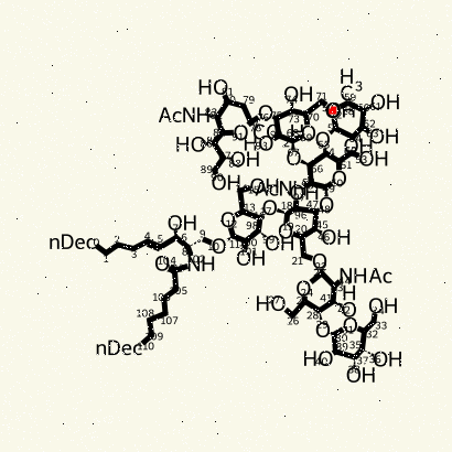 CCCCCCCCCCCCC/C=C/[C@@H](O)[C@H](CO[C@@H]1OC(CO)[C@@H](O[C@@H]2OC(CO[C@@H]3OC(CO)[C@@H](O[C@@H]4OC(CO)[C@H](O)[C@H](O)C4O)[C@H](O)C3NC(C)=O)[C@H](O)[C@H](O[C@@H]3OC(CO)[C@@H](O[C@H]4OC(C)[C@@H](O)C(O)[C@@H]4O)[C@H](O[C@@H]4OC(CO)[C@H](O)[C@H](O[C@]5(C(=O)O)CC(O)[C@@H](NC(C)=O)C([C@H](O)[C@H](O)CO)O5)C4O)C3NC(C)=O)C2O)[C@H](O)C1O)NC(=O)CCCCCCCCCCCCCCC